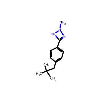 CC(C)(C)Cc1ccc(-c2nn(N)[nH]2)cc1